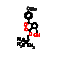 COc1ccc(C(=O)[C@@H]2CC[C@H](CO)C2C(=O)OCC[Si](C)(C)C)cc1